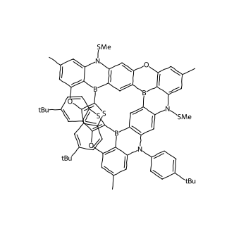 CSN1c2cc3c(cc2B2c4cc5c(cc4Oc4cc(C)cc1c42)N(SC)c1cc(C)cc2c1B5c1sc4ccc(C(C)(C)C)cc4c1O2)B1c2sc4ccc(C(C)(C)C)cc4c2Oc2cc(C)cc(c21)N3c1ccc(C(C)(C)C)cc1